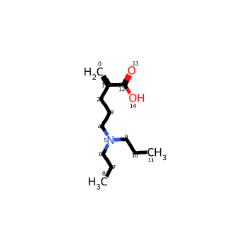 C=C(CCCN(CCC)CCC)C(=O)O